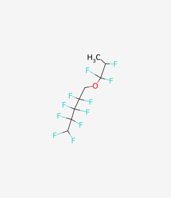 CC(F)C(F)(F)OCC(F)(F)C(F)(F)C(F)(F)C(F)F